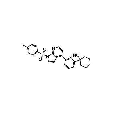 Cc1ccc(S(=O)(=O)n2ccc3c(-c4cccc(C5(C#N)CCCCC5)n4)ccnc32)cc1